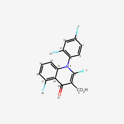 O=C(O)c1c(F)n(-c2ccc(F)cc2F)c2cccc(F)c2c1=O